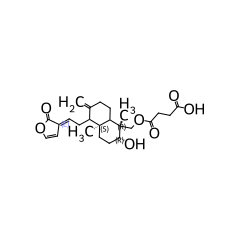 C=C1CCC2[C@@](C)(CC[C@@H](O)[C@@]2(C)COC(=O)CCC(=O)O)C1C/C=C1\C=COC1=O